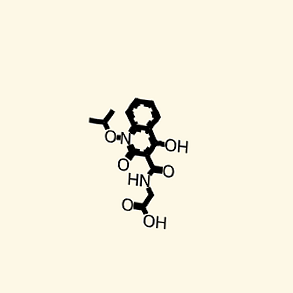 CC(C)On1c(=O)c(C(=O)NCC(=O)O)c(O)c2ccccc21